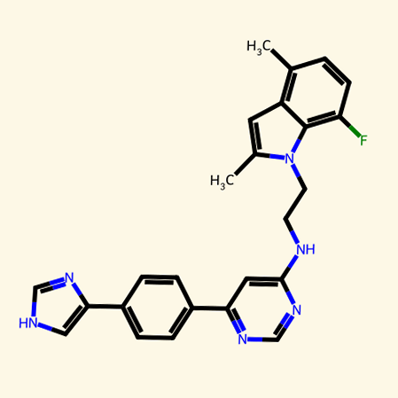 Cc1ccc(F)c2c1cc(C)n2CCNc1cc(-c2ccc(-c3c[nH]cn3)cc2)ncn1